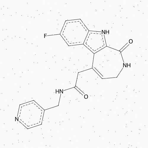 O=C(CC1=CCNC(=O)c2[nH]c3ccc(F)cc3c21)NCc1ccncc1